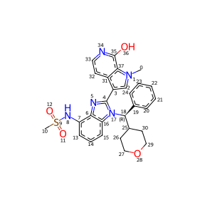 Cn1cc(-c2nc3c(NS(C)(=O)=O)cccc3n2[C@@H](c2ccccc2)C2CCOCC2)c2ccnc(O)c21